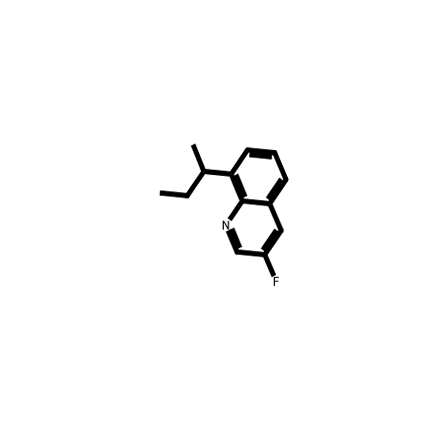 CCC(C)c1cccc2cc(F)cnc12